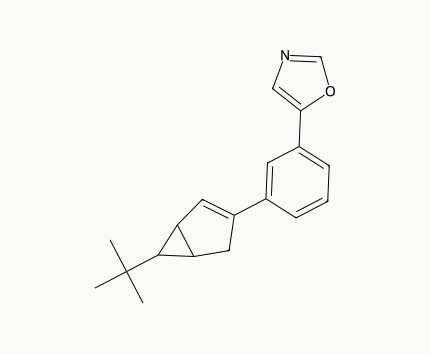 CC(C)(C)C1C2C=C(c3cccc(-c4cnco4)c3)CC21